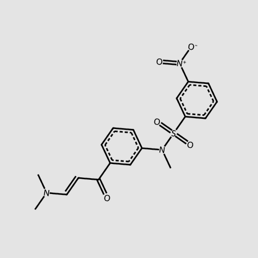 CN(C)C=CC(=O)c1cccc(N(C)S(=O)(=O)c2cccc([N+](=O)[O-])c2)c1